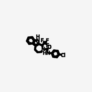 O=C(Nc1ccc(Cl)cc1)N1CCCc2c([nH]c3ccccc23)C1C(F)(F)F